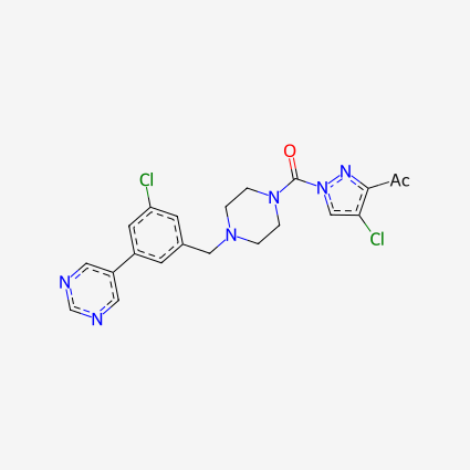 CC(=O)c1nn(C(=O)N2CCN(Cc3cc(Cl)cc(-c4cncnc4)c3)CC2)cc1Cl